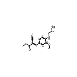 COC(=O)/C(C#N)=C/c1ccc(OCCO)c(OC)c1